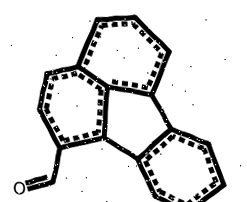 O=Cc1ccc2cccc3c2c1-c1ccccc1-3